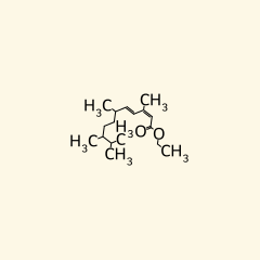 CCOC(=O)C=C(C)C=CC(C)CCC(C)C(C)C